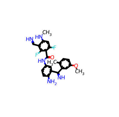 CNc1cc(F)c(C(=O)Nc2ccc(N)c(C(=N)c3cc(OC)ccc3C)c2)c(F)c1C=N